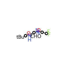 CC(C)(C)c1ccc(C(=O)NC(C=O)Cc2ccc(-c3noc(-c4ccc(-c5ccc(F)c(F)c5)cc4)n3)cc2)cc1